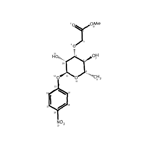 COC(=O)CO[C@@H]1[C@@H](O)[C@H](C)O[C@@H](Oc2ccc([N+](=O)[O-])cc2)[C@@H]1O